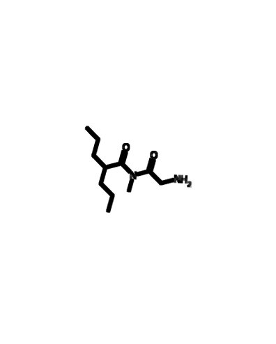 CCCC(CCC)C(=O)N(C)C(=O)CN